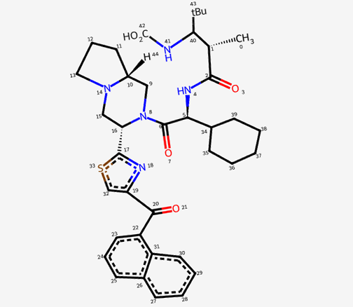 C[C@H](C(=O)N[C@H](C(=O)N1C[C@H]2CCCN2C[C@H]1c1nc(C(=O)c2cccc3ccccc23)cs1)C1CCCCC1)C(NC(=O)O)C(C)(C)C